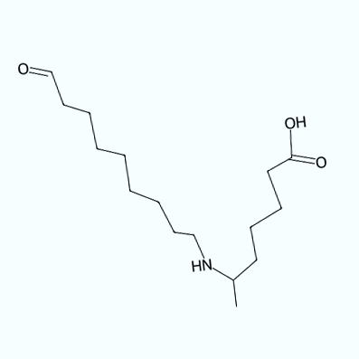 CC(CCCCC(=O)O)NCCCCCCCCC=O